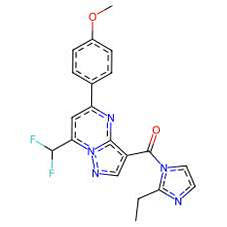 CCc1nccn1C(=O)c1cnn2c(C(F)F)cc(-c3ccc(OC)cc3)nc12